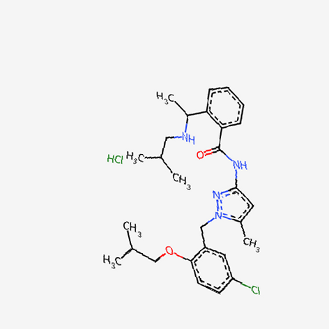 Cc1cc(NC(=O)c2ccccc2C(C)NCC(C)C)nn1Cc1cc(Cl)ccc1OCC(C)C.Cl